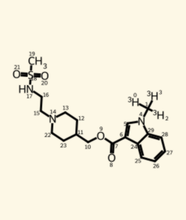 [3H]C([3H])([3H])n1cc(C(=O)OCC2CCN(CCNS(C)(=O)=O)CC2)c2ccccc21